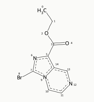 CCOC(=O)c1nc(Br)n2ccncc12